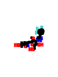 CO[C@@H]1[C@@H](n2cc(-c3ccc(F)c(F)c3F)nn2)[C@@H](O)[C@@H](CO)O[C@@H]1Cc1cc(C(C)(C)O)on1